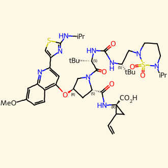 C=CC1C[C@]1(NC(=O)[C@@H]1C[C@@H](Oc2cc(-c3csc(NC(C)C)n3)nc3cc(OC)ccc23)CN1C(=O)[C@@H](NC(=O)N[C@H](CN1CCCN(C(C)C)S1(=O)=O)C(C)(C)C)C(C)(C)C)C(=O)O